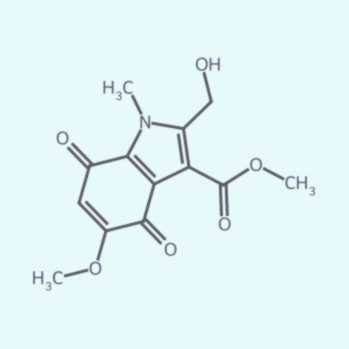 COC(=O)c1c2c(n(C)c1CO)C(=O)C=C(OC)C2=O